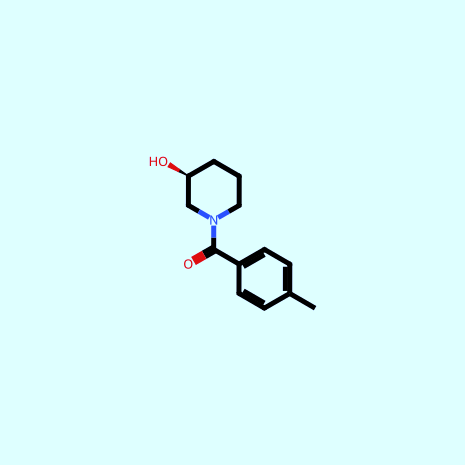 Cc1ccc(C(=O)N2CCC[C@H](O)C2)cc1